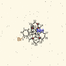 CC1=Cc2c(Br)cccc2[CH]1[Zr]([NH]C(C)(C)C)([c]1ccccc1)([c]1ccccc1)([c]1ccccc1)[SiH](C)C